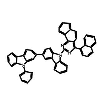 c1ccc(-n2c3ccccc3c3ccc(-c4ccc5c(c4)c4ccccc4n5-c4nc(-c5cccc6ccccc56)c5ccc6ccccc6c5n4)cc32)cc1